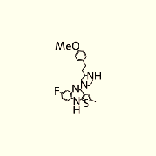 COc1ccc(CCC2CN(C3=Nc4cc(F)ccc4Nc4sc(C)cc43)CCN2)cc1